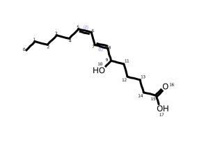 CCCCC/C=C\C=C\C(O)CCCCC(=O)O